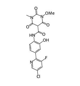 CON1C(=O)C(C(=O)Nc2ccc(-c3ncc(Cl)cc3F)cc2O)C(=O)N(C)C1=O